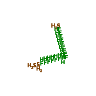 F.F.F.F.F.F.F.F.F.F.F.F.F.F.F.F.S.S.S